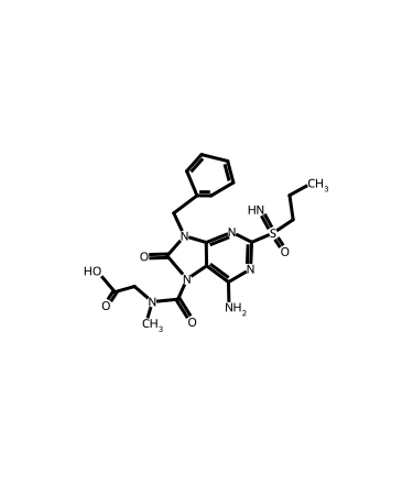 CCCS(=N)(=O)c1nc(N)c2c(n1)n(Cc1ccccc1)c(=O)n2C(=O)N(C)CC(=O)O